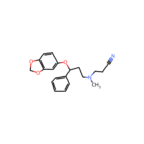 CN(CCC#N)CCC(Oc1ccc2c(c1)OCO2)c1ccccc1